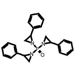 O=P(N1CC1c1ccccc1)(N1CC1c1ccccc1)N1CC1c1ccccc1